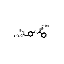 CCCCCCON=C(COc1ccc(CC(OCC)C(=O)O)cc1)c1ccccc1